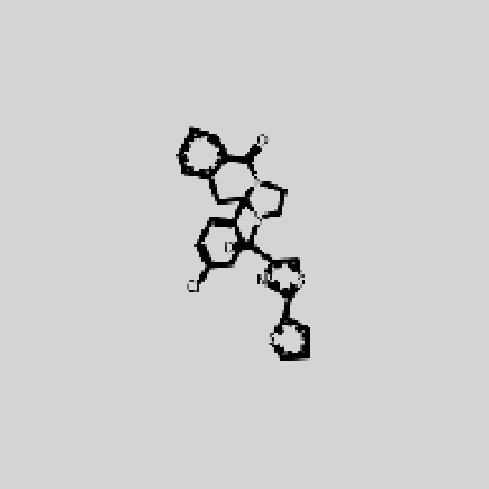 O=C(c1csc(-c2cccs2)n1)N1CCN2C(=O)c3ccccc3CC12C1=CC=C(Cl)CC1